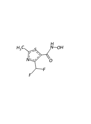 Cc1nc(C(F)F)c(C(=O)NO)s1